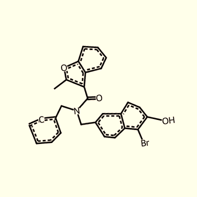 Cc1oc2ccccc2c1C(=O)N(Cc1ccccc1)Cc1ccc2c(Br)c(O)ccc2c1